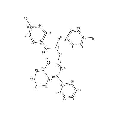 Cc1ccc(SC(C/C(=N/Sc2ccccc2)OC2CCCCC2)Sc2ccc(C)cc2)cc1